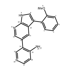 COc1ccccc1-c1c[nH]c2ncc(-c3cnccc3N)cc12